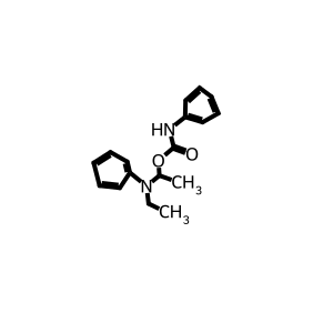 CCN(c1ccccc1)C(C)OC(=O)Nc1ccccc1